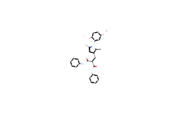 COc1ccc(OC)c(-n2c(C)cc(C=C(C(=O)Nc3ccccc3)C(=O)Nc3ccccc3)c2C)c1